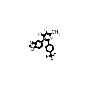 Cc1nc(C2CCC(C(F)(F)F)CC2)n(-c2ccc3ocnc3c2)c(=O)c1Cl